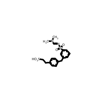 CN(C)C=NS(=O)(=O)c1cccc(Cc2ccc(CCS(=O)(=O)O)cc2)c1